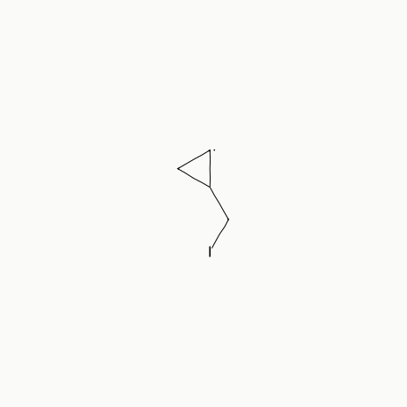 ICC1[CH]C1